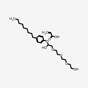 C=CC(=O)O.CCCCCCCCCc1ccc(OC(O)COCCOCCOCCO)cc1